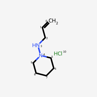 C=CCNN1CCCCC1.Cl